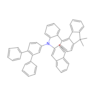 CC1(C)c2ccccc2-c2c(-c3ccccc3N(c3ccc(-c4ccccc4)c(-c4ccccc4)c3)c3ccc4ccccc4c3)cccc21